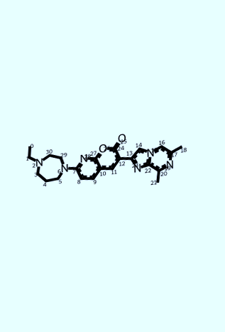 CCN1CCCN(c2ccc3cc(-c4cn5cc(C)nc(C)c5n4)c(=O)oc3n2)CC1